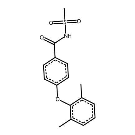 Cc1cccc(C)c1Oc1ccc(C(=O)NS(C)(=O)=O)cc1